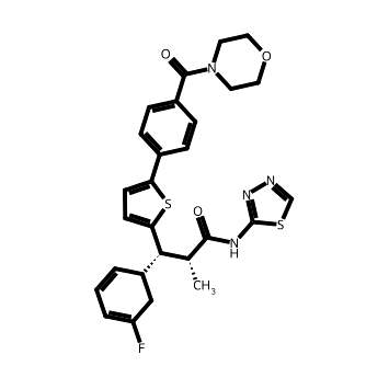 C[C@@H](C(=O)Nc1nncs1)[C@@H](c1ccc(-c2ccc(C(=O)N3CCOCC3)cc2)s1)C1C=CC=C(F)C1